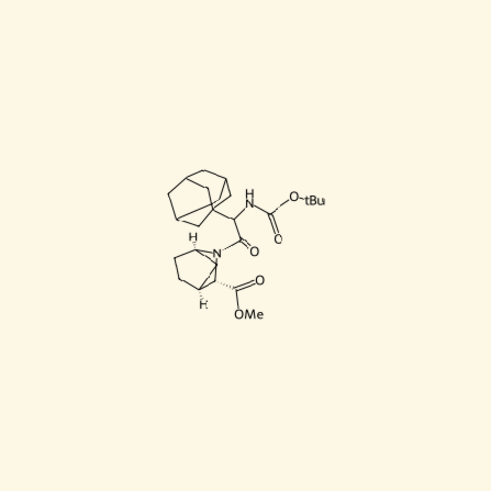 COC(=O)[C@@H]1[C@H]2CC[C@H](C2)N1C(=O)C(NC(=O)OC(C)(C)C)C12CC3CC(CC(C3)C1)C2